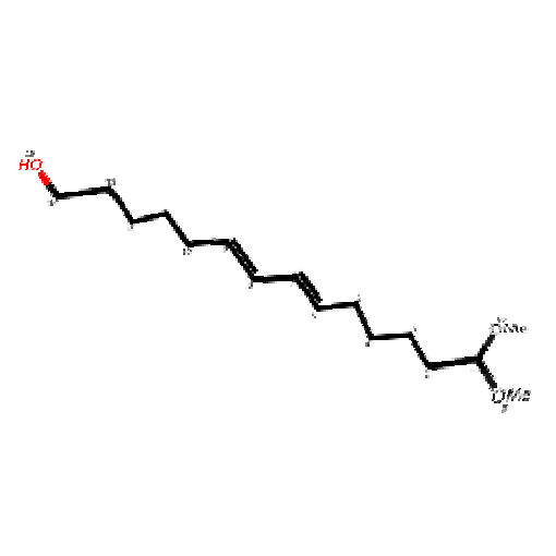 COC(CCCCC=CC=CCCCCCO)OC